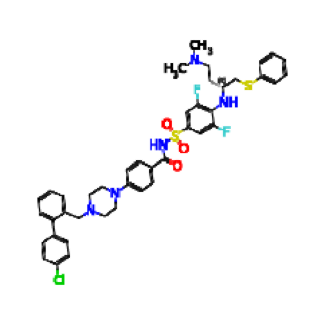 CN(C)CC[C@H](CSc1ccccc1)Nc1c(F)cc(S(=O)(=O)NC(=O)c2ccc(N3CCN(Cc4ccccc4-c4ccc(Cl)cc4)CC3)cc2)cc1F